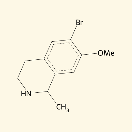 COc1cc2c(cc1Br)CCNC2C